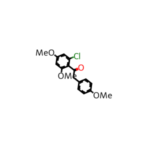 COc1ccc(CC(=O)c2c(Cl)cc(OC)cc2OC)cc1